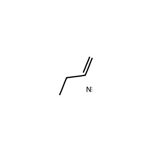 C=CCC.[N]